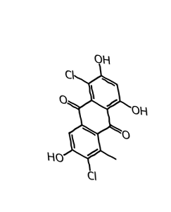 Cc1c(Cl)c(O)cc2c1C(=O)c1c(O)cc(O)c(Cl)c1C2=O